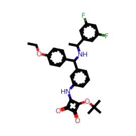 CCOc1ccc(C(NC(C)c2cc(F)cc(F)c2)c2cccc(Nc3c(OC(C)(C)C)c(=O)c3=O)c2)cc1